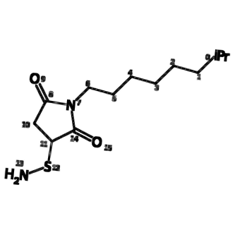 CC(C)CCCCCCN1C(=O)CC(SN)C1=O